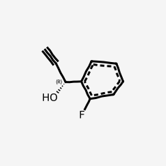 C#C[C@@H](O)c1ccccc1F